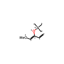 C=C/C(=C/OC)O[Si](C)(C)C